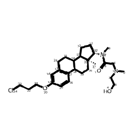 CN(CCO)CC(=O)N(C)[C@H]1CCC2C3CCc4cc(OCCCCl)ccc4C3CC[C@@]21C